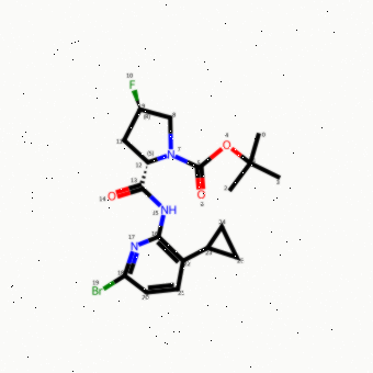 CC(C)(C)OC(=O)N1C[C@H](F)C[C@H]1C(=O)Nc1nc(Br)ccc1C1CC1